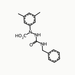 Cc1cc(C)cc(N(NC(=O)NCc2ccccc2)C(=O)O)c1